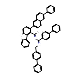 N/C(=N\C(=N/Cc1ccc(-c2ccccc2)cc1)c1ccc(-c2ccccc2)cc1)c1c(-c2ccc3cc(-c4ccccc4)ccc3c2)ccc2oc3ccccc3c12